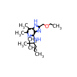 CCCC(Nc1nc(C)c(C)c2[nH]c(COCC)nc12)C(C)(C)C